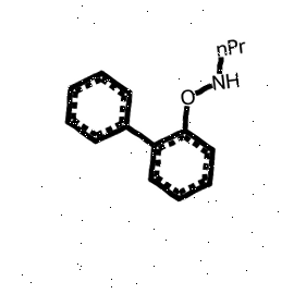 CCCNOc1ccccc1-c1ccccc1